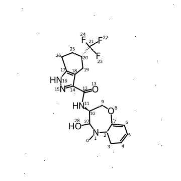 CN1C2CC=CC=C2OC[C@H](NC(=O)c2n[nH]c3c2C[C@@H](C(F)(F)F)CC3)C1O